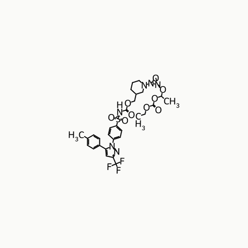 CCOC(=O)OC(C)On1on1N1CCCC(COC(=O)NS(=O)(=O)c2ccc(-n3nc(C(F)(F)F)cc3-c3ccc(C)cc3)cc2)C1